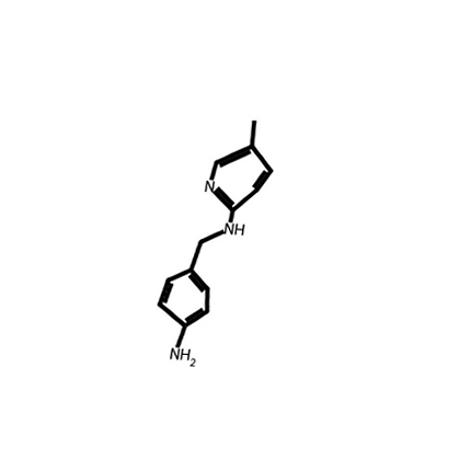 Cc1ccc(NCc2ccc(N)cc2)nc1